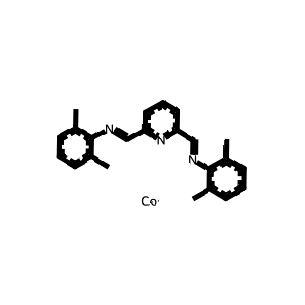 Cc1cccc(C)c1N=Cc1cccc(C=Nc2c(C)cccc2C)n1.[Co]